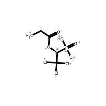 CCC(=O)O[C@H](C(Cl)(Cl)Cl)P(=O)(O)O